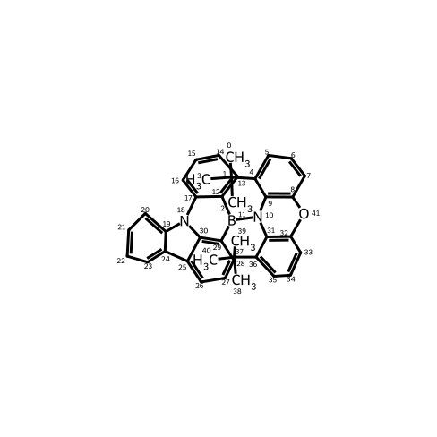 CC(C)(C)c1cccc2c1N(B1c3ccccc3-n3c4ccccc4c4cccc1c43)c1c(cccc1C(C)(C)C)O2